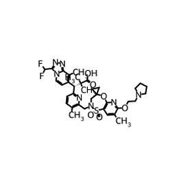 Cc1ccc([C@H](c2ccn3c(C(F)F)nnc3c2C)C(C)(C)C(=O)O)nc1CN1CC2(CC2)Oc2nc(OCCN3CCCC3)c(C)cc2S1(=O)=O